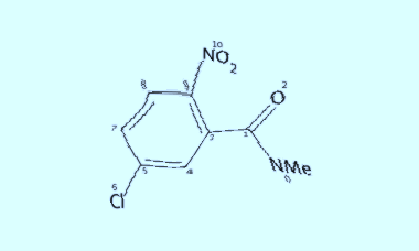 CNC(=O)c1cc(Cl)ccc1[N+](=O)[O-]